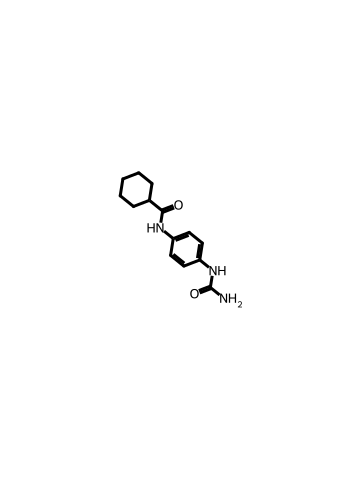 NC(=O)Nc1ccc(NC(=O)C2CCCCC2)cc1